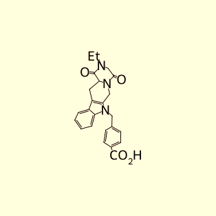 CCN1CC(=O)N2Cc3c(c4ccccc4n3Cc3ccc(C(=O)O)cc3)CC2C1=O